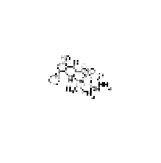 CN(C)C1C(O)=C(C(N)=O)C(=O)[C@@]2(N=O)C(O)=C3C(=O)c4c(O)ccc(N5CCCCC5)c4C[C@H]3C[C@@H]12